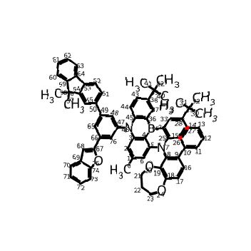 Cc1cc2c3c(c1)N(c1c(-c4ccccc4)ccc4c1OCCCO4)c1ccc(C(C)(C)C)cc1B3c1cc(C(C)(C)C)ccc1N2c1cc(-c2ccc3c(c2)C(C)(C)c2ccccc2-3)cc(-c2cc3ccccc3o2)c1